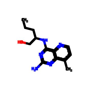 CCCC(CO)Nc1nc(N)nc2c(C)ccnc12